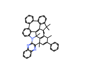 CC1C(c2ccccc2)=CC2(C)C3=C1C1(C)C4=C5c6c(cccc6N(c6nc7ccccc7nc62)C53C)-c2ccccc2-c2cccc(c24)C1(C)C